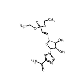 CCOP(=O)(/C=C/[C@H]1O[C@@H](n2cnc(C(N)=O)n2)[C@H](O)[C@@H]1O)OCC